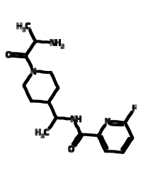 CC(N)C(=O)N1CCC(C(C)NC(=O)c2cccc(F)n2)CC1